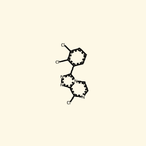 Clc1cccc(-c2nnc3c(Cl)nccn23)c1Cl